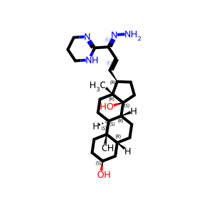 C[C@]12CC[C@H](O)C[C@H]1CC[C@@H]1[C@@H]2CC[C@]2(C)[C@@H](/C=C/C(=N\N)C3=NCCCN3)CC[C@]12O